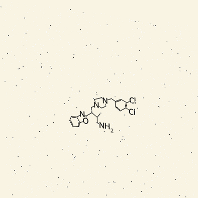 CC(CN)C(CN1CCN(Cc2ccc(Cl)c(Cl)c2)CC1)c1nc2ccccc2o1